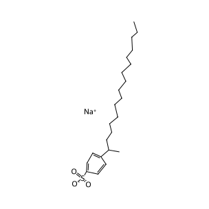 CCCCCCCCCCCCCCCC(C)c1ccc(S(=O)(=O)[O-])cc1.[Na+]